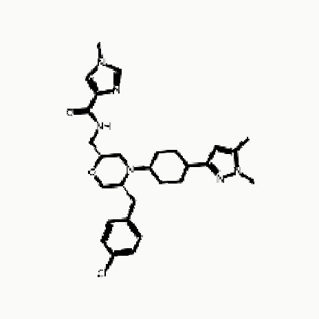 Cc1cc(C2CCC(N3C[C@H](CNC(=O)c4cn(C)cn4)OC[C@@H]3Cc3ccc(Cl)cc3)CC2)nn1C